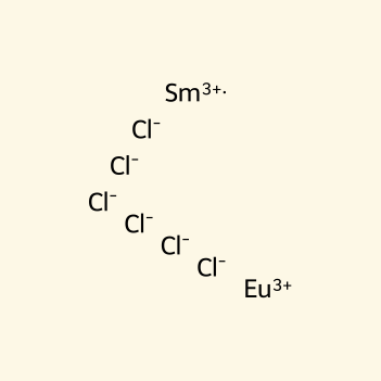 [Cl-].[Cl-].[Cl-].[Cl-].[Cl-].[Cl-].[Eu+3].[Sm+3]